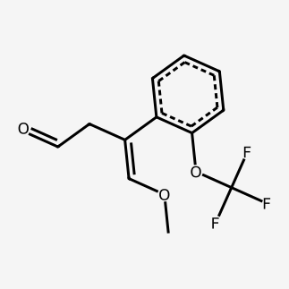 CO/C=C(/CC=O)c1ccccc1OC(F)(F)F